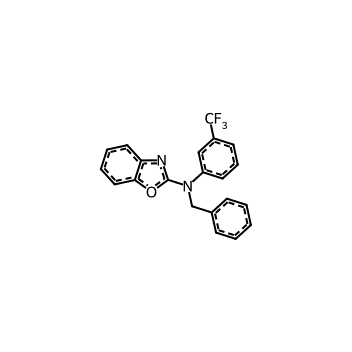 FC(F)(F)c1cccc(N(Cc2ccccc2)c2nc3ccccc3o2)c1